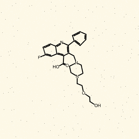 O=C(O)c1c(CN2CCN(CCOCCO)CC2)c(-c2ccccc2)nc2ccc(F)cc12